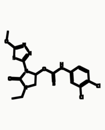 CCN1CC(OC(=S)Nc2ccc(Cl)c(Cl)c2)N(c2nnc(OC)s2)C1=O